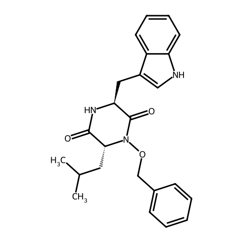 CC(C)C[C@@H]1C(=O)N[C@@H](Cc2c[nH]c3ccccc23)C(=O)N1OCc1ccccc1